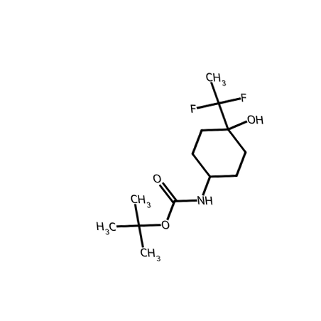 CC(C)(C)OC(=O)NC1CCC(O)(C(C)(F)F)CC1